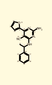 CC(Nc1nc(N)nc(-c2ccco2)c1C#N)c1ccccc1